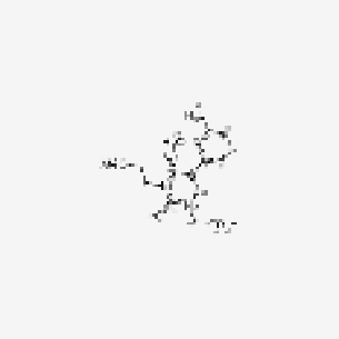 COCCn1c(=O)c(-c2cccc(C)c2C)cn(CC(=O)O)c1=O